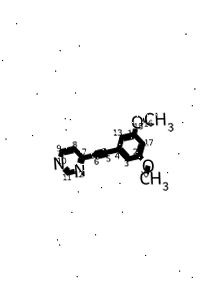 COc1cc(C#Cc2ccncn2)cc(OC)c1